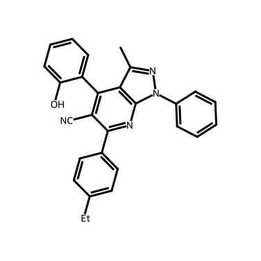 CCc1ccc(-c2nc3c(c(C)nn3-c3ccccc3)c(-c3ccccc3O)c2C#N)cc1